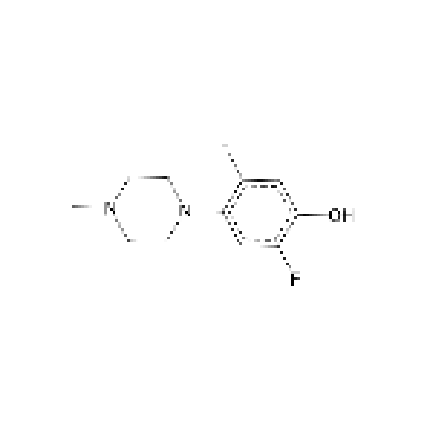 CN1CCN(c2cc(F)c(O)cc2F)CC1